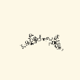 C=CC(=O)Nc1cc(OC)cc(S(=O)(=O)c2ccc(N3CC(F)(CN4CCC(C(CN5CCC5)(c5cccc(F)c5)[C@H]5CCC[C@@H]5NC(=O)OC)CC4)C3)c(F)c2)c1